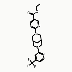 CCOC(=O)c1cnc(N2CC3CC(CN(c4cc(C(F)(F)F)ccn4)C3)C2)nc1